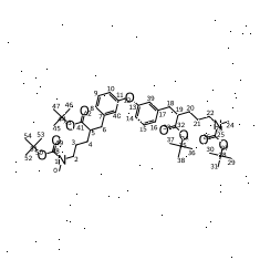 CN(CCCC(Cc1cccc(Oc2cccc(CC(CCCN(C)C(=O)OC(C)(C)C)C(=O)OC(C)(C)C)c2)c1)C(=O)OC(C)(C)C)C(=O)OC(C)(C)C